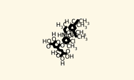 CCCC(Nc1cc(OCC(CC(C(=O)O)C(=O)O)C(S)CC(C(=O)O)C(=O)O)c(C)c(Cl)c1O)Oc1ccc(C(C)(C)CC)cc1C(C)(C)CC